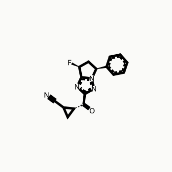 N#CC1C[C@H]1C(=O)c1nc2n(n1)[C@H](c1ccccc1)C[C@@H]2F